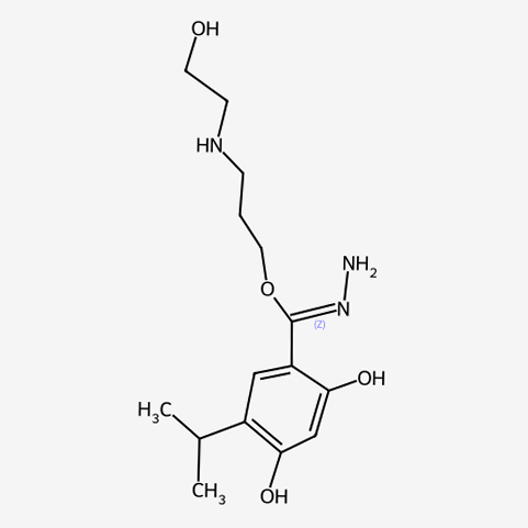 CC(C)c1cc(/C(=N/N)OCCCNCCO)c(O)cc1O